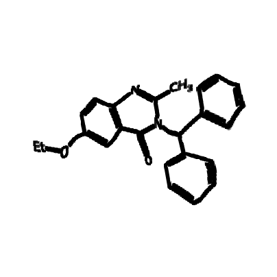 CCOc1ccc2nc(C)n(C(c3ccccc3)c3ccccc3)c(=O)c2c1